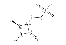 C[C@H]1[C@H](CCS(C)(=O)=O)C(=O)N1C